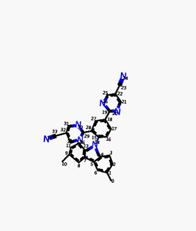 Cc1ccc2c(c1)c1cc(C)ccc1n2-c1ccc(-c2ncc(C#N)cn2)cc1-c1ncc(C#N)cn1